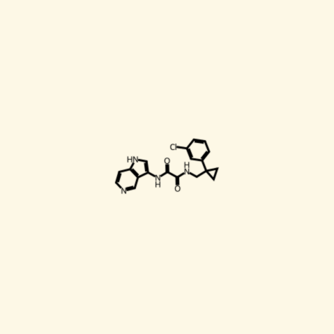 O=C(NCC1(c2cccc(Cl)c2)CC1)C(=O)Nc1c[nH]c2ccncc12